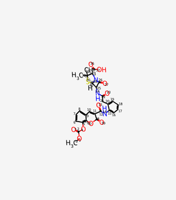 COC(=O)Oc1cccc2cc(C(=O)Nc3ccccc3CC(=O)NC3C(=O)N4[C@@H]3SC(C)(C)[C@@H]4C(=O)O)c(=O)oc12